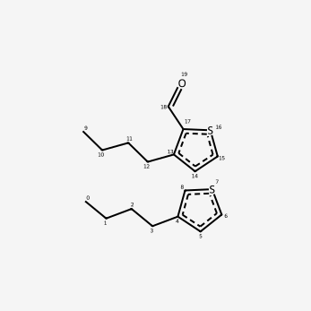 CCCCc1ccsc1.CCCCc1ccsc1C=O